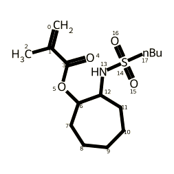 C=C(C)C(=O)OC1CCCCCC1NS(=O)(=O)CCCC